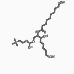 CCCCCCCCCCCCCCCCCCC(=O)NC(COP(O)OCC[N+](C)(C)C)C(O)CCCCCCCCCCCCCCC